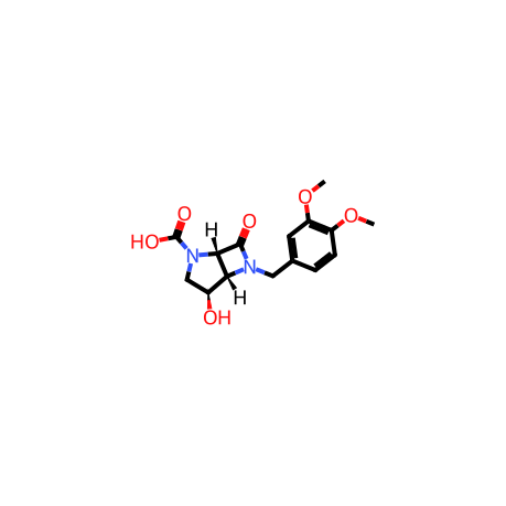 COc1ccc(CN2C(=O)[C@@H]3[C@H]2[C@@H](O)CN3C(=O)O)cc1OC